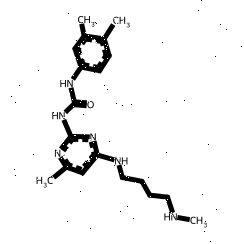 CNCCCCNc1cc(C)nc(NC(=O)Nc2ccc(C)c(C)c2)n1